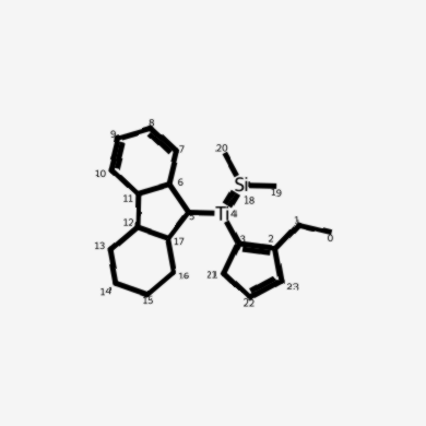 CCC1=[C]([Ti]([CH]2C3C=CC=CC3C3CCCCC32)=[Si](C)C)CC=C1